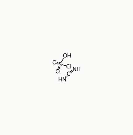 N=C=N.O=S(=O)(O)Cl